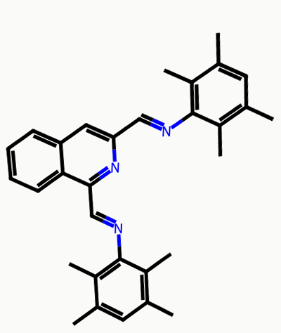 Cc1cc(C)c(C)c(/N=C/c2cc3ccccc3c(/C=N/c3c(C)c(C)cc(C)c3C)n2)c1C